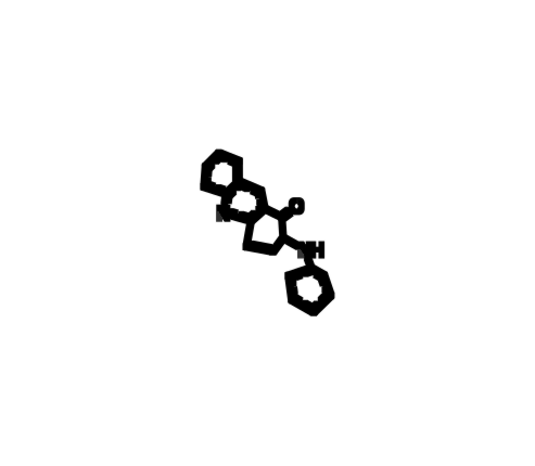 O=C1c2cc3ccccc3nc2C=CC1Nc1ccccc1